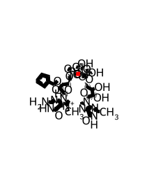 Cc1nc2c(ncn2[C@@H]2O[C@H](COP(=O)(O)OP(=O)(O)OP(=O)(O)OC[C@H]3O[C@@H](n4c[n+](C)c5c(=O)[nH]c(N)nc54)[C@H]4OC(c5ccccc5)OC34)C(O)[C@@H]2O)c(=O)[nH]1